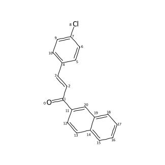 O=C(C=Cc1ccc(Cl)cc1)c1ccc2ccccc2c1